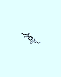 CCCC[Si](Cl)(Cl)c1ccc([Si](Cl)(Cl)CCCC)cc1